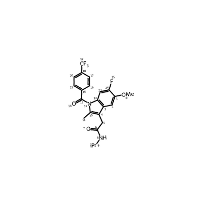 COc1cc2c(CC(=O)NC(C)C)c(C)n(C(=O)c3ccc(C(F)(F)F)cc3)c2cc1F